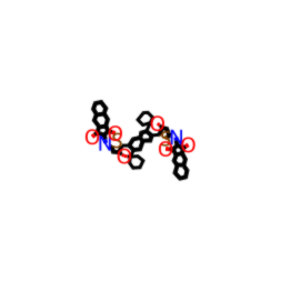 O=c1c(=Nc2cc3c(s2)-c2cc4cc5c(cc4cc2C2(CCCCC2)O3)-c2sc(N=c3c(=O)c4cc6ccccc6cc4c3=O)cc2OC52CCCCC2)c(=O)c2cc3ccccc3cc12